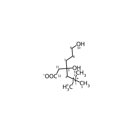 C[N+](C)(C)CC(O)(CCCO)CC(=O)[O-]